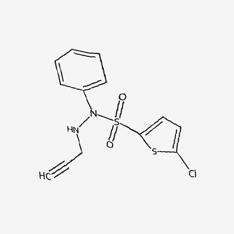 C#CCNN(c1ccccc1)S(=O)(=O)c1ccc(Cl)s1